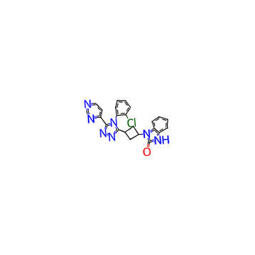 O=c1[nH]c2ccccc2n1C1CC(c2nnc(-c3ccncn3)n2-c2ccccc2Cl)C1